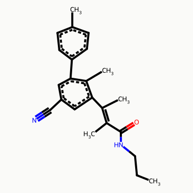 CCCNC(=O)/C(C)=C(\C)c1cc(C#N)cc(-c2ccc(C)cc2)c1C